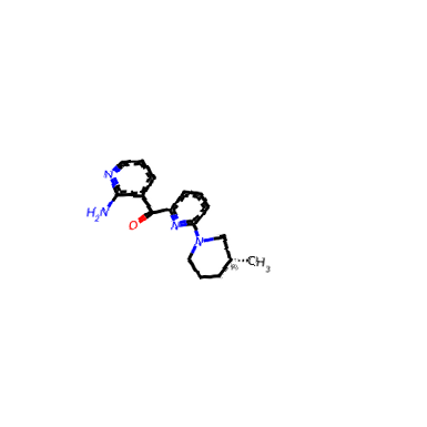 C[C@@H]1CCCN(c2cccc(C(=O)c3cccnc3N)n2)C1